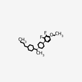 CCCCC1CCC(C(C)[C@H]2CC[C@H](c3ccc(OCC)c(F)c3F)CC2)CC1